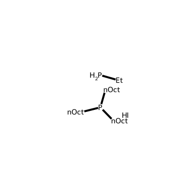 CCCCCCCCP(CCCCCCCC)CCCCCCCC.CCP.I